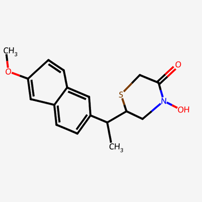 COc1ccc2cc(C(C)C3CN(O)C(=O)CS3)ccc2c1